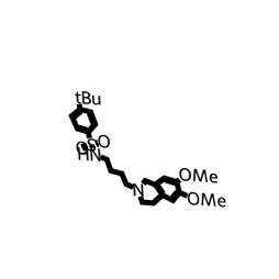 COc1cc2c(cc1OC)CN(CCCCNS(=O)(=O)c1ccc(C(C)(C)C)cc1)CC2